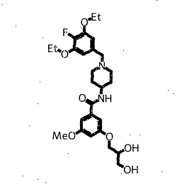 CCOc1cc(CN2CCC(NC(=O)c3cc(OC)cc(OCC(O)CO)c3)CC2)cc(OCC)c1F